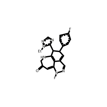 CCn1ncnc1C1C2=C3C(=CC1c1ccc(F)cc1)C=NN(F)C3=CC(=O)CN2